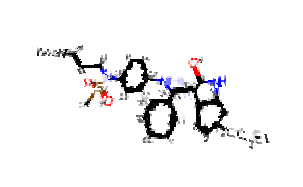 CCOC(=O)c1ccc2c(c1)NC(=O)/C2=C(\Nc1ccc(N(CCCNC)S(C)(=O)=O)cc1)c1ccccc1